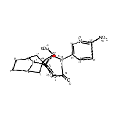 CC(C)(C)OC(=O)N1C2CCC1CC1(C2)CN(c2ccc([N+](=O)[O-])nc2)C(=O)O1